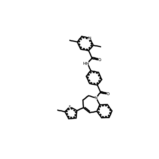 Cc1cnc(C)c(C(=O)Nc2ccc(C(=O)N3CCC(c4ccc(C)s4)=Cc4ccccc43)cc2)c1